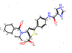 CC(C)N(c1cc(-c2ccc(NC(=O)c3c[nH]cn3)cc2)sc1C(=O)O)C(=O)[C@H]1CC[C@H](C)CC1